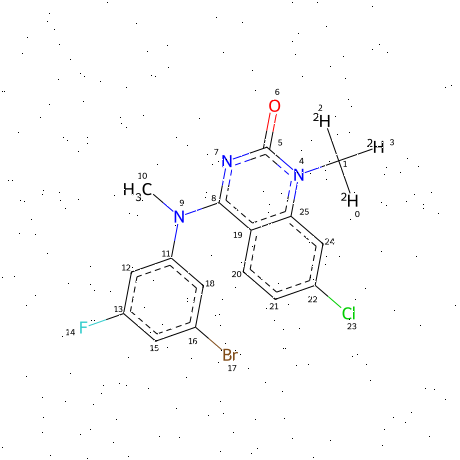 [2H]C([2H])([2H])n1c(=O)nc(N(C)c2cc(F)cc(Br)c2)c2ccc(Cl)cc21